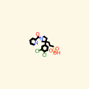 O=C(c1ccccn1)N1CCC(CCCS(=O)(=O)O)(c2ccc(Cl)c(Cl)c2)C1